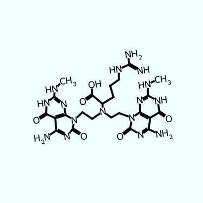 CNc1nc2c(c(N)nc(=O)n2CCN(CCn2c(=O)nc(N)c3c(=O)[nH]c(NC)nc32)C(CCCNC(=N)N)C(=O)O)c(=O)[nH]1